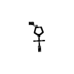 C#CC(C)(C)N1CC[C@@H](O)C1